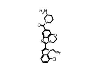 CC(C)Cn1c(-c2nc3cc(C(=O)N4CCC[C@@H](N)C4)cc4c3n2CCO4)cc2cccc(Cl)c21